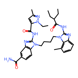 CCC(CC)C(=O)Nc1nc2cccc(C)c2n1CCCCn1c(NC(=O)c2cc(C)nn2CC)nc2cc(C(N)=O)ccc21